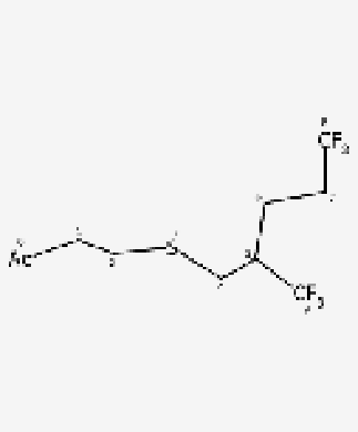 CC(=O)CCSCC(CCC(F)(F)F)C(F)(F)F